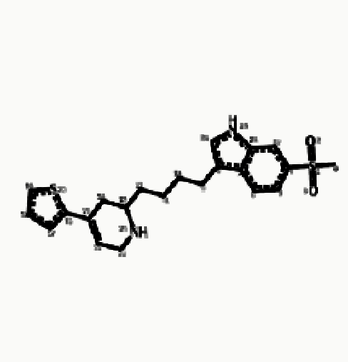 CS(=O)(=O)c1ccc2c(CCCCC3CC(c4cccs4)=CCN3)c[nH]c2c1